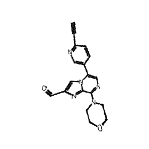 C#Cc1ccc(-c2cnc(N3CCOCC3)c3nc(C=O)cn23)cn1